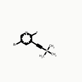 C[Si](C)(C)C#Cc1cc(Br)cnc1F